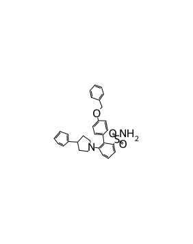 NS(=O)(=O)c1cccc(N2CCC(c3ccccc3)CC2)c1-c1ccc(OCc2ccccc2)cc1